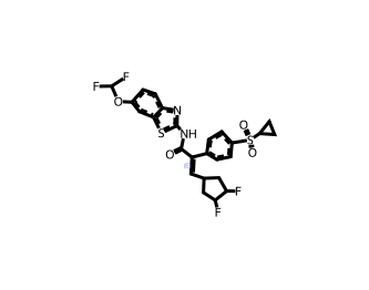 O=C(Nc1nc2ccc(OC(F)F)cc2s1)/C(=C/C1CC(F)C(F)C1)c1ccc(S(=O)(=O)C2CC2)cc1